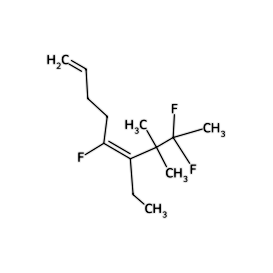 C=CCCC(F)=C(CC)C(C)(C)C(C)(F)F